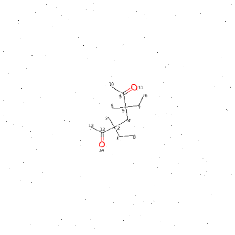 CCC(C)(CC(C)(CC)C(C)=O)C(C)=O